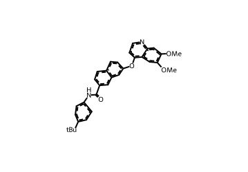 COc1cc2nccc(Oc3ccc4ccc(C(=O)Nc5ccc(C(C)(C)C)cc5)cc4c3)c2cc1OC